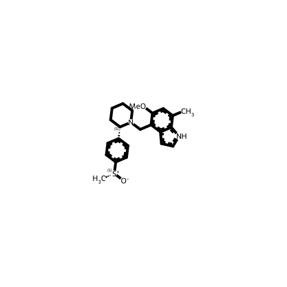 COc1cc(C)c2[nH]ccc2c1CN1CCCC[C@H]1c1ccc([S@@+](C)[O-])cc1